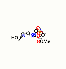 COC(=O)C(C)(C)C(OCc1cn(Cc2cccc(-c3cccc(C(=O)O)n3)c2)nn1)c1ccc(C)c(CN2C[C@@H](C)Oc3ccccc3S2(=O)=O)c1